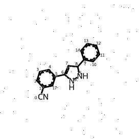 N#Cc1cccc(C2=CC(c3ccccc3)NN2)c1